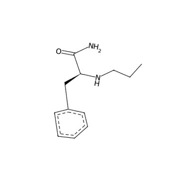 CCCN[C@@H](Cc1ccccc1)C(N)=O